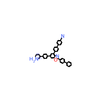 C/C=C\C(=C/N)c1ccc(-c2cc(-c3ccc(-c4ccc(C#N)cc4)cc3)c3nc(-c4ccc(-c5ccccc5)cc4)oc3c2)cc1